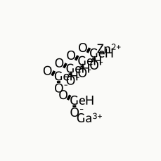 [Ga+3].[O]=[GeH][O-].[O]=[GeH][O-].[O]=[GeH][O-].[O]=[GeH][O-].[O]=[GeH][O-].[Zn+2]